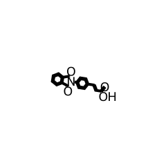 O=C(O)C=Cc1ccc(N2C(=O)c3ccccc3C2=O)cc1